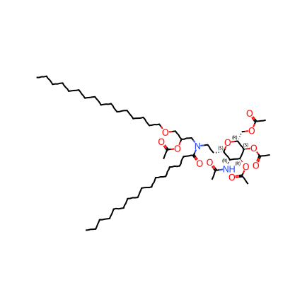 CCCCCCCCCCCCCCCCOCC(CN(CC[C@@H]1O[C@H](COC(C)=O)[C@@H](OC(C)=O)[C@H](OC(C)=O)[C@@H]1NC(C)=O)C(=O)CCCCCCCCCCCCCCC)OC(C)=O